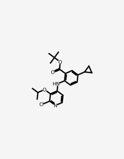 CC(C)Oc1c(Nc2ccc(C3CC3)cc2C(=O)OC(C)(C)C)ccnc1Cl